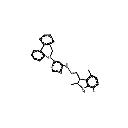 Cc1ccc(F)c2c1C(CCNc1cc(NCc3ccccc3-c3ccccc3)ncn1)C(C)N2